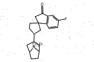 CCOC(=O)N1C2CCC1CC(N1CCC3(CC(=O)c4cc(F)ccc43)C1)C2